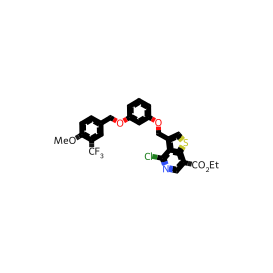 CCOC(=O)c1cnc(Cl)c2c(COc3cccc(OCc4ccc(OC)c(C(F)(F)F)c4)c3)csc12